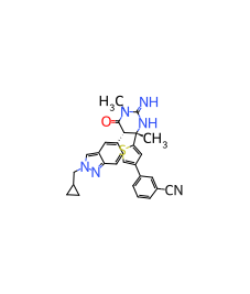 CN1C(=N)N[C@](C)(c2cc(-c3cccc(C#N)c3)cs2)[C@H](c2ccc3nn(CC4CC4)cc3c2)C1=O